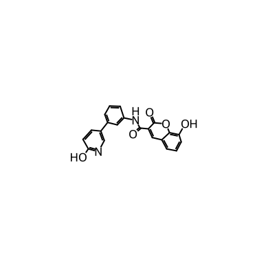 O=C(Nc1cccc(-c2ccc(O)nc2)c1)c1cc2cccc(O)c2oc1=O